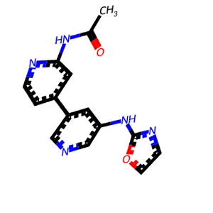 CC(=O)Nc1cc(-c2cncc(Nc3ncco3)c2)ccn1